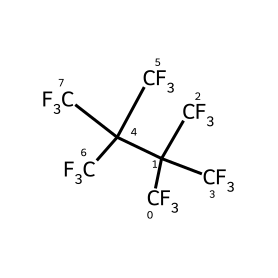 FC(F)(F)C(C(F)(F)F)(C(F)(F)F)C(C(F)(F)F)(C(F)(F)F)C(F)(F)F